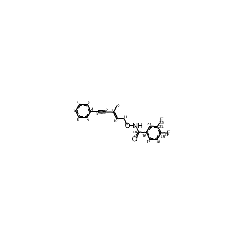 C/C(C#Cc1ccccc1)=C\CONC(=O)c1ccc(F)c(F)c1